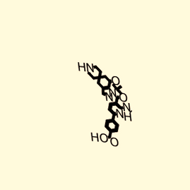 CNc1nc(-c2ccc(C(=O)O)cc2)ccc1C(=O)[N+]1(C(C)(C)C)N=CC2=C1C(=O)CC1(CCNCC1)C2